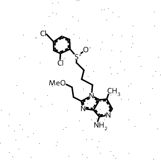 COCCc1nc2c(N)ncc(C)c2n1CCCC[S+]([O-])c1ccc(Cl)cc1Cl